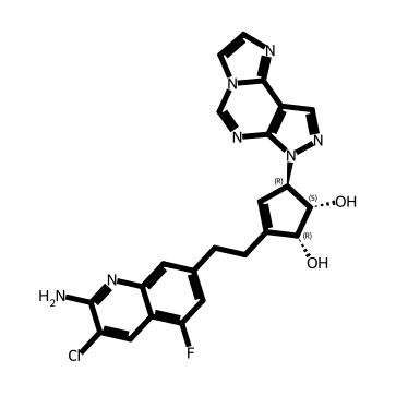 Nc1nc2cc(CCC3=C[C@@H](n4ncc5c4ncn4ccnc54)[C@H](O)[C@@H]3O)cc(F)c2cc1Cl